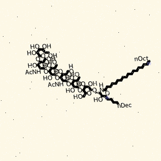 CCCCCCCC/C=C\CCCCCCCCCCCCCCCC(=O)N[C@@H](CO[C@@H]1OC(CO)[C@@H](O[C@@H]2OC(CO)[C@H](O)[C@H](O[C@@H]3OC(CO)[C@@H](O)[C@H](O[C@@H]4OC(CO)[C@H](O)[C@H](O[C@@H]5OC(CO)[C@@H](O[C@@H]6OC(CO)[C@H](O)[C@H](O)C6O)[C@H](O)C5NC(C)=O)C4O)C3NC(C)=O)C2O)[C@H](O)C1O)[C@H](O)/C=C/CCCCCCCCCCCCC